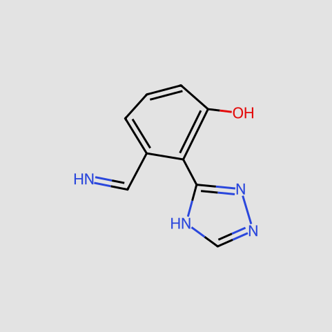 N=Cc1cccc(O)c1-c1nnc[nH]1